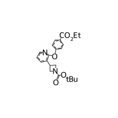 CCOC(=O)c1ccc(Oc2ncccc2C2CN(C(=O)OC(C)(C)C)C2)cc1